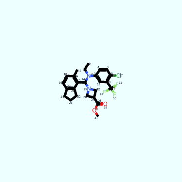 CCN(c1ccc(Cl)c(C(F)(F)F)c1)C(c1c(C)ccc2c1CCC2)N1CC(C(=O)OC)C1